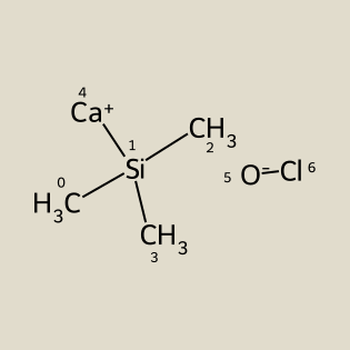 C[Si](C)(C)[Ca+].[O-]Cl